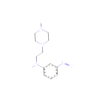 CN1CCN(CCN(C)c2cccc(N=N)c2)CC1